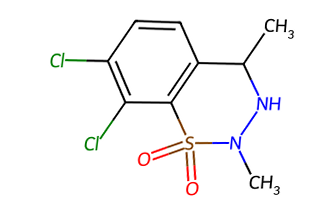 CC1NN(C)S(=O)(=O)c2c1ccc(Cl)c2Cl